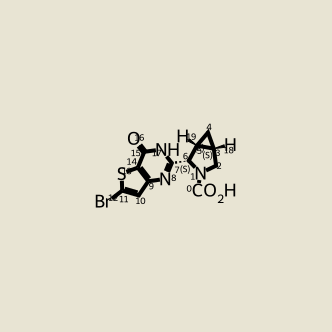 O=C(O)N1C[C@H]2C[C@H]2[C@H]1c1nc2cc(Br)sc2c(=O)[nH]1